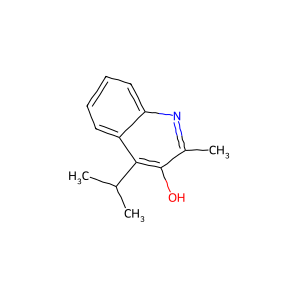 Cc1nc2ccccc2c(C(C)C)c1O